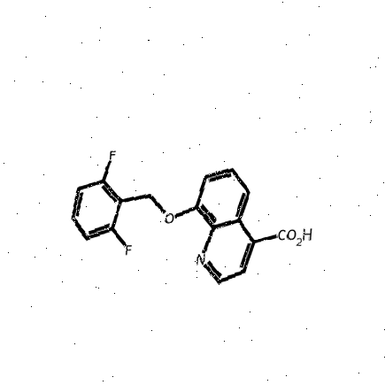 O=C(O)c1ccnc2c(OCc3c(F)cccc3F)cccc12